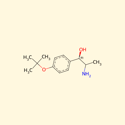 CC(N)[C@H](O)c1ccc(OC(C)(C)C)cc1